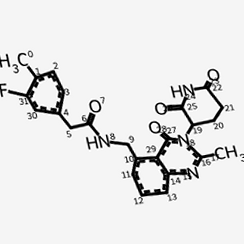 Cc1ccc(CC(=O)NCc2cccc3nc(C)n(C4CCC(=O)NC4=O)c(=O)c23)cc1F